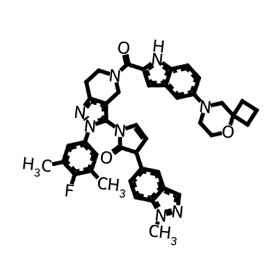 Cc1cc(-n2nc3c(c2N2C=CC(c4ccc5c(cnn5C)c4)C2=O)CN(C(=O)c2cc4cc(N5CCOC6(CCC6)C5)ccc4[nH]2)CC3)cc(C)c1F